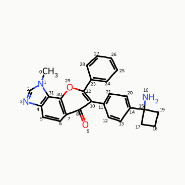 Cn1cnc2ccc3c(=O)c(-c4ccc(C5(N)CCC5)cc4)c(-c4ccccc4)oc3c21